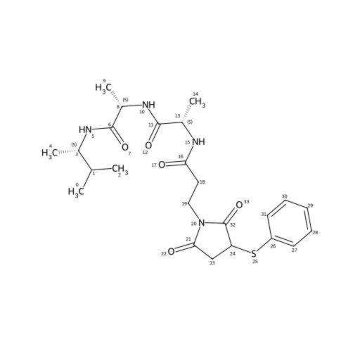 CC(C)[C@H](C)NC(=O)[C@H](C)NC(=O)[C@H](C)NC(=O)CCN1C(=O)CC(Sc2ccccc2)C1=O